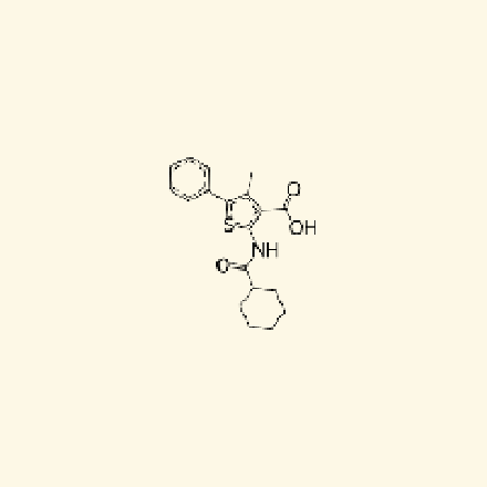 Cc1c(-c2ccccc2)sc(NC(=O)C2CCCCC2)c1C(=O)O